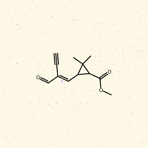 C#C/C(C=O)=C\C1C(C(=O)OC)C1(C)C